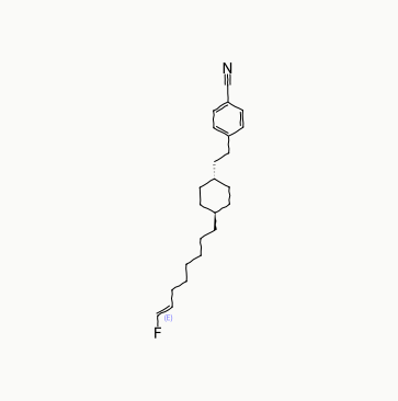 N#Cc1ccc(CC[C@H]2CC[C@H](CCCCCC/C=C/F)CC2)cc1